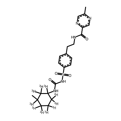 [2H]C1([2H])C([2H])([2H])C([2H])(C)C([2H])([2H])C([2H])(NC(=O)NS(=O)(=O)c2ccc(CCNC(=O)c3cnc(C)cn3)cc2)C1([2H])[2H]